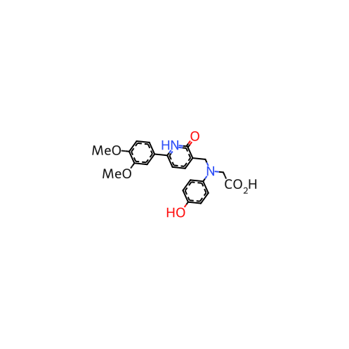 COc1ccc(-c2ccc(CN(CC(=O)O)c3ccc(O)cc3)c(=O)[nH]2)cc1OC